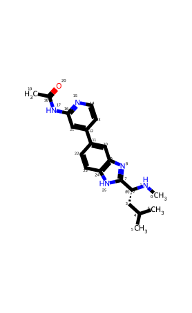 CN[C@H](CC(C)C)c1nc2cc(-c3ccnc(NC(C)=O)c3)ccc2[nH]1